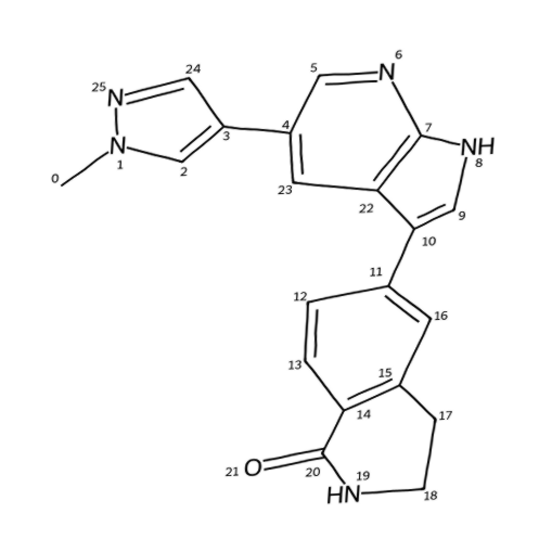 Cn1cc(-c2cnc3[nH]cc(-c4ccc5c(c4)CCNC5=O)c3c2)cn1